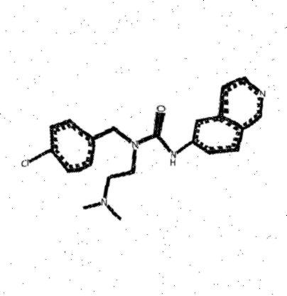 CN(C)CCN(Cc1ccc(Cl)cc1)C(=O)Nc1ccc2cnccc2c1